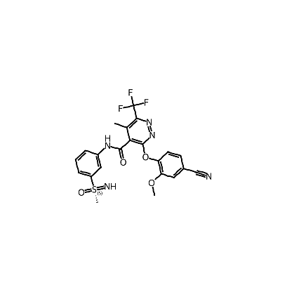 COc1cc(C#N)ccc1Oc1nnc(C(F)(F)F)c(C)c1C(=O)Nc1cccc([S@@](C)(=N)=O)c1